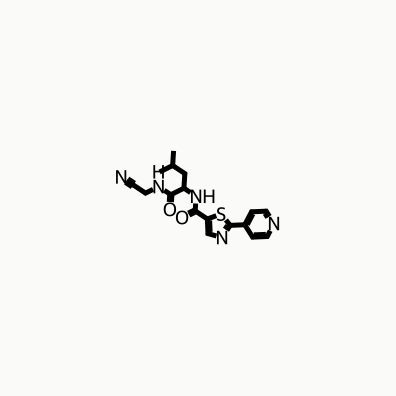 CC(C)CC(NC(=O)c1cnc(-c2ccncc2)s1)C(=O)NCC#N